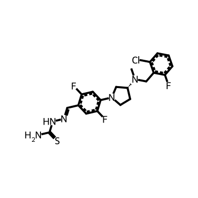 CN(Cc1c(F)cccc1Cl)[C@@H]1CCN(c2cc(F)c(C=NNC(N)=S)cc2F)C1